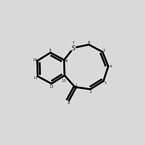 C=C1/C=C\C=C/CSc2ccccc21